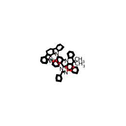 CC1(C)c2ccccc2N(c2cc(N3C4=C(CCc5c4n(-c4ccccc4)c4ccccc54)C4C=CC=CC43)c(C#N)cc2-c2nc(-c3ccccc3)nc(-c3ccccc3)n2)c2ccccc21